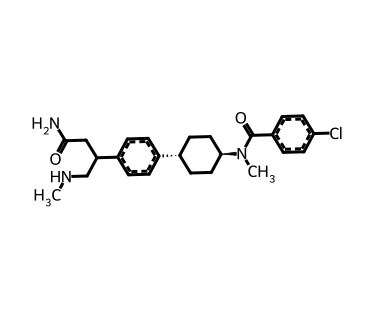 CNCC(CC(N)=O)c1ccc([C@H]2CC[C@H](N(C)C(=O)c3ccc(Cl)cc3)CC2)cc1